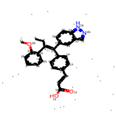 CC/C(=C(/c1ccc(C=CC(=O)O)cc1)c1ccc2[nH]ncc2c1)c1ccccc1OC